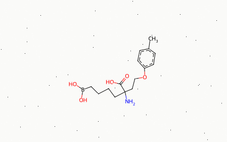 Cc1ccc(OCCC(N)(CCCCB(O)O)C(=O)O)cc1